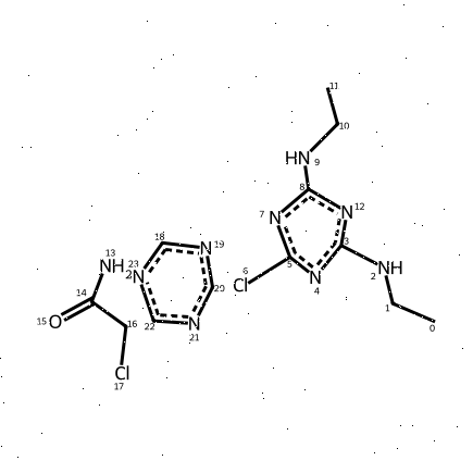 CCNc1nc(Cl)nc(NCC)n1.NC(=O)CCl.c1ncncn1